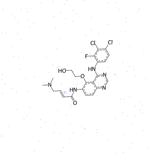 CN(C)C/C=C/C(=O)Nc1ccc2ncnc(Nc3ccc(Cl)c(Cl)c3F)c2c1OCCO